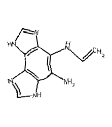 C=CNc1c(N)c2[nH]cnc2c2[nH]cnc12